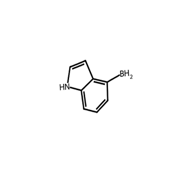 Bc1cccc2[nH]ccc12